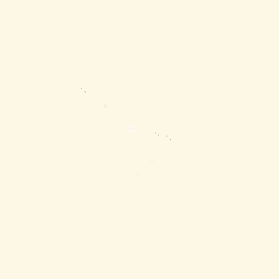 CC1=NN=C(/C=C/c2ccc(C#N)cc2)c2cc3c(cc2C1)OCO3